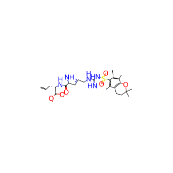 C=CC[C@H](NC(=O)[C@@H](N)CCCNC(=N)NS(=O)(=O)c1c(C)c(C)c2c(c1C)CCC(C)(C)O2)C(=O)OC